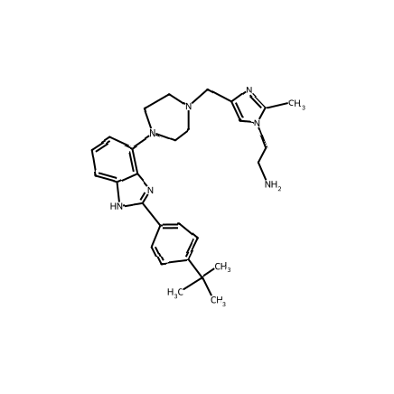 Cc1nc(CN2CCN(c3cccc4[nH]c(-c5ccc(C(C)(C)C)cc5)nc34)CC2)cn1CCN